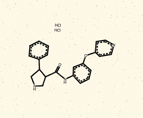 Cl.Cl.O=C(Nc1cccc(Oc2ccncc2)c1)C1CNCC1c1ccccc1